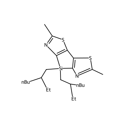 CCCCC(CC)C[Si]1(CC(CC)CCCC)c2nc(C)sc2-c2sc(C)nc21